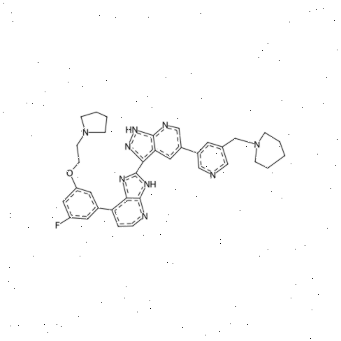 Fc1cc(OCCN2CCCC2)cc(-c2ccnc3[nH]c(-c4n[nH]c5ncc(-c6cncc(CN7CCCCC7)c6)cc45)nc23)c1